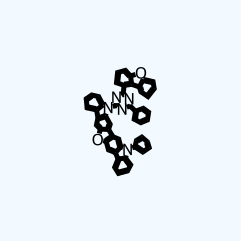 c1ccc(-c2nc(-c3cccc4oc5ccccc5c34)nc(-n3c4ccccc4c4cc5oc6cc7c8ccccc8n(-c8ccccc8)c7cc6c5cc43)n2)cc1